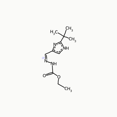 CCOC(=O)N/N=C\c1c[nH]c(C(C)(C)C)n1